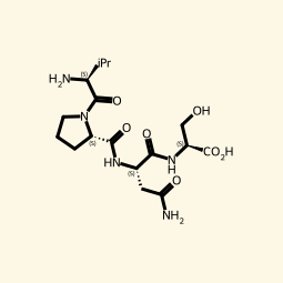 CC(C)[C@H](N)C(=O)N1CCC[C@H]1C(=O)N[C@@H](CC(N)=O)C(=O)N[C@@H](CO)C(=O)O